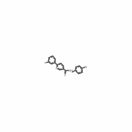 O=C(NCc1ccc(Br)cc1)c1ccc(-c2cccc(F)c2)nc1